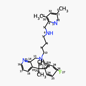 Cc1cnc(CNCCCCN(C)Cc2ncccc2C(C)(C)c2ccc(F)cc2)c(C)c1